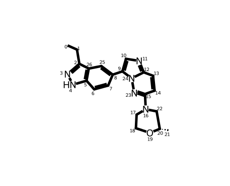 CCc1n[nH]c2ccc(-c3cnc4ccc(N5CCO[C@@H](C)C5)nn34)cc12